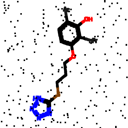 CCCc1c(OCCCSc2nnn[nH]2)ccc(C(C)=O)c1O